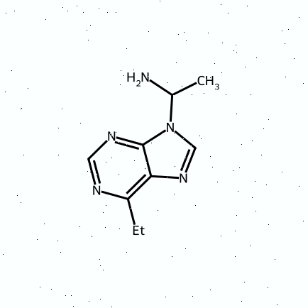 CCc1ncnc2c1ncn2C(C)N